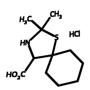 CC1(C)NC(C(=O)O)C2(CCCCC2)S1.Cl